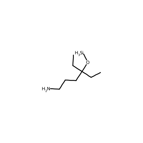 CCC(CC)(CCCN)O[SiH3]